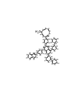 C=C1/C=C\C=C/C/N=C(c2ccc(-c3nc(-c4ccc(-c5ccc6ccccc6n5)cc4)c4cc(-c5cccc(-c6ccccc6)c5)cc(-c5cccc(-c6ccccc6)c5)c4n3)cc2)\C=C/1